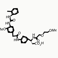 COCCOCC(=O)N[C@H](CC(=O)O)c1ccc(NC(=O)Cc2ccc(NC(=O)Nc3ccccc3C)c(OC)c2)cc1